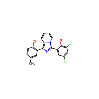 Cc1ccc(O)c(-c2nc(-c3cc(Cl)cc(Cl)c3O)n3ccccc23)c1